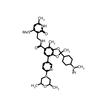 CSc1cc(C)[nH]c(=O)c1CNC(=O)c1cc(-c2ccc(N3CC(C)OC(C)C3)nc2)c2c(c1C)OC(C)(C1CCC(N(C)C(C)C)CC1)O2